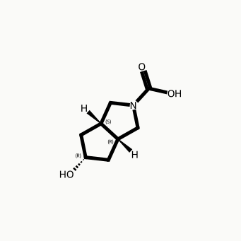 O=C(O)N1C[C@H]2C[C@@H](O)C[C@H]2C1